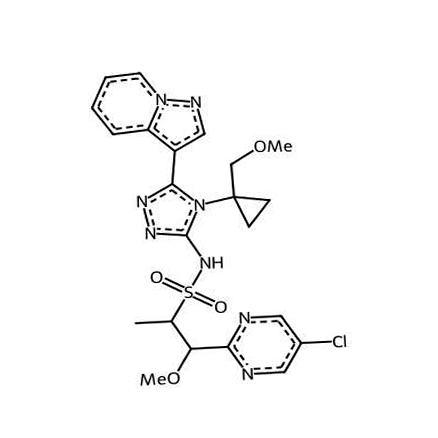 COCC1(n2c(NS(=O)(=O)C(C)C(OC)c3ncc(Cl)cn3)nnc2-c2cnn3ccccc23)CC1